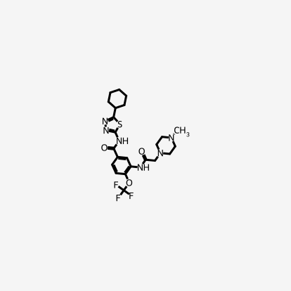 CN1CCN(CC(=O)Nc2cc(C(=O)Nc3nnc(C4CCCCC4)s3)ccc2OC(F)(F)F)CC1